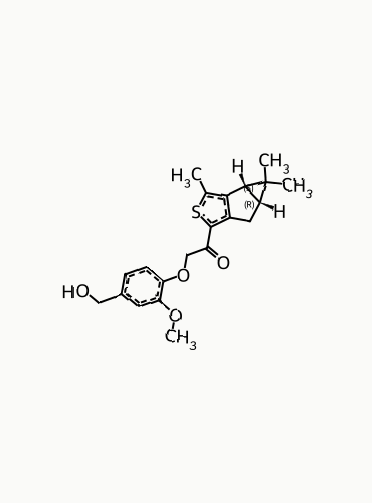 COc1cc(CO)ccc1OCC(=O)c1sc(C)c2c1C[C@@H]1[C@H]2C1(C)C